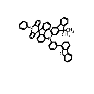 CC1(C)c2ccccc2-c2ccc(N(c3cccc(-c4cccc5c4oc4ccccc45)c3)c3cccc4c3-c3ccccc3C43c4ccccc4N(c4ccccc4)c4ccccc43)cc21